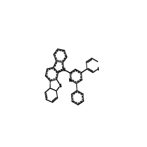 C/C=C\C(=C/I)c1cc(-c2ccccc2)nc(-n2c3ccccc3c3ccc4c(c32)SC2C=CC=CC42)c1